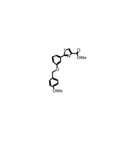 COC(=O)c1csc(-c2cccc(OCc3ccc(OC)cc3)c2)n1